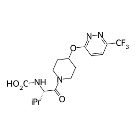 CC(C)[C@H](NC(=O)O)C(=O)N1CCC(Oc2ccc(C(F)(F)F)nn2)CC1